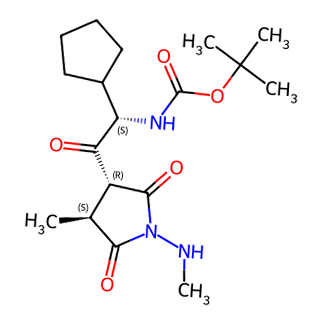 CNN1C(=O)[C@@H](C(=O)[C@@H](NC(=O)OC(C)(C)C)C2CCCC2)[C@H](C)C1=O